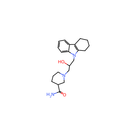 NC(=O)C1CCCN(CC(O)Cn2c3c(c4ccccc42)CCCC3)C1